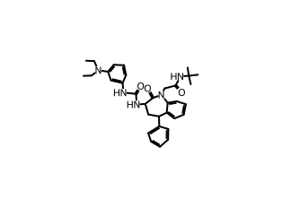 CCN(CC)c1cccc(NC(=O)NC2CC(c3ccccc3)c3ccccc3N(CC(=O)NC(C)(C)C)C2=O)c1